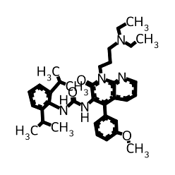 CCN(CC)CCCn1c(=O)c(NC(=O)Nc2c(C(C)C)cccc2C(C)C)c(-c2cccc(OC)c2)c2cccnc21